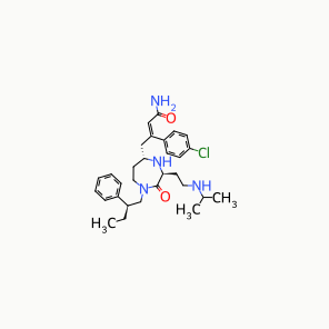 CC[C@H](CN1CC[C@H](CC(=CC(N)=O)c2ccc(Cl)cc2)N[C@@H](CCNC(C)C)C1=O)c1ccccc1